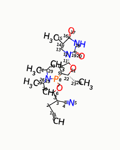 C#CCC(C#N)COP(C1C[C@H](n2cc(C)c(=O)[nH]c2=O)O[C@@H]1CC)N(C(C)C)C(C)C